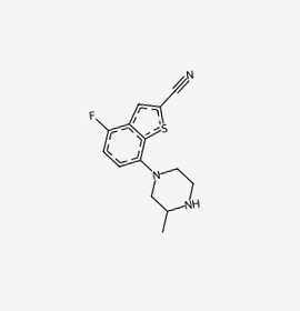 CC1CN(c2ccc(F)c3cc(C#N)sc23)CCN1